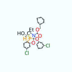 CCC(C(=O)O)N(C(=O)OCc1ccccc1)C(Oc1cccc(Cl)c1)(Oc1cccc(Cl)c1)[PH2]=S